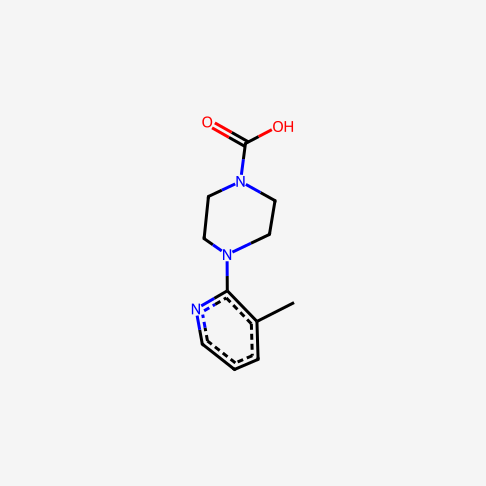 Cc1cccnc1N1CCN(C(=O)O)CC1